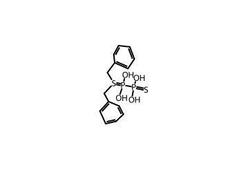 OP(O)(=S)P(O)(O)=S(Cc1ccccc1)Cc1ccccc1